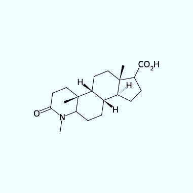 CN1C(=O)CC[C@@]2(C)C1CC[C@@H]1[C@H]2CC[C@]2(C)C(C(=O)O)CC[C@@H]12